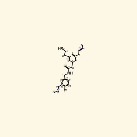 C=C(C/C=C/C)CC(/C=C/CCS)CC(=C)NCc1ccc(F)c(/C=N/C)n1